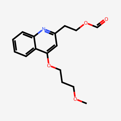 COCCCOc1cc(CCOC=O)nc2ccccc12